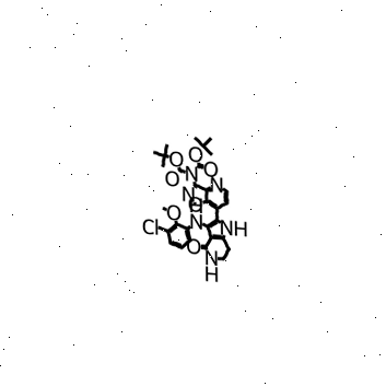 COc1c(Cl)cccc1Nc1c(-c2ccnc3c(N(C(=O)OC(C)(C)C)C(=O)OC(C)(C)C)noc23)[nH]c2c1C(=O)NCC2